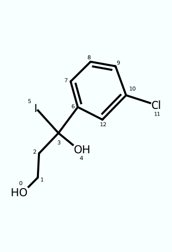 OCCC(O)(I)c1cccc(Cl)c1